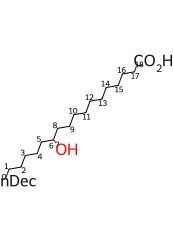 CCCCCCCCCCCCCCCC(O)CCCCCCCCCCC(=O)O